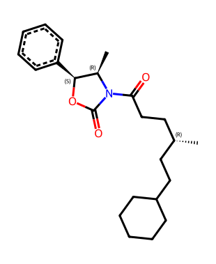 C[C@@H](CCC(=O)N1C(=O)O[C@@H](c2ccccc2)[C@H]1C)CCC1CCCCC1